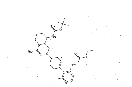 CCOC(=O)COc1ccnc(C)c1C1=CCC(OCC2C(NC(=O)OC(C)(C)C)CCCN2C(=O)O)CC1